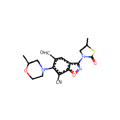 CC1CN(c2c(C=O)cc3c(N4CC(C)SC4=O)noc3c2C#N)CCO1